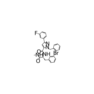 CNC(=O)[C@H](Cc1cccc(Br)c1)NC(=O)c1cc(-c2cccc(F)c2)nn1Cc1ccccc1